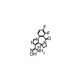 N/C(=N\O)c1ncn2c1[C@@H]1CCN1C(=O)c1c-2ccc(F)c1F